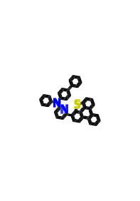 c1ccc(-c2ccc(N(c3ccccc3)c3cccc(-c4ccc5c6ccccc6c6cccc7sc4c5c76)n3)cc2)cc1